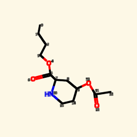 CCCCOC(=O)C1CC(OC(C)=O)CCN1